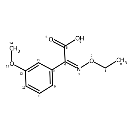 CCO/N=C(\C(=O)O)c1cccc(OC)c1